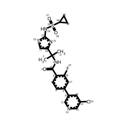 CC(C)(NC(=O)c1ccc(-c2cncc(Cl)c2)cc1F)c1csc(NS(=O)(=O)C2CC2)n1